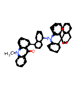 Cn1c2ccccc2c(=O)c2c(-c3cccc4c(N5c6ccccc6C6(c7ccccc7Cc7ccccc76)c6ccccc65)cccc34)cccc21